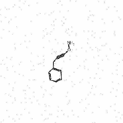 NOC#CCc1ccccc1